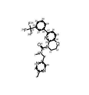 Cc1cnc(CN(C)C(=O)N2CCOc3ccc(-c4cccc(C(F)(F)F)c4)nc32)cn1